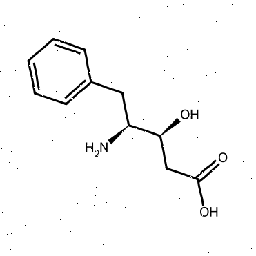 N[C@@H](Cc1ccccc1)[C@@H](O)CC(=O)O